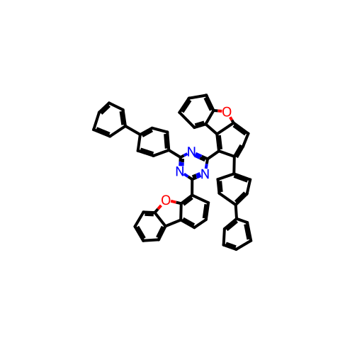 c1ccc(-c2ccc(-c3nc(-c4cccc5c4oc4ccccc45)nc(-c4c(-c5ccc(-c6ccccc6)cc5)ccc5oc6ccccc6c45)n3)cc2)cc1